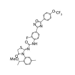 COC(C)c1ccc(C)cc1N1C(=O)CSC1=NC(=O)Nc1ccc(-c2noc(-c3ccc(OC(F)(F)F)cc3)n2)cc1F